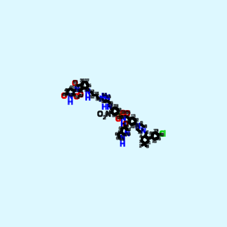 CC1(C)CCC(CN2CCN(c3ccc(C(=O)NS(=O)(=O)c4ccc(NCc5cn(CCCCNc6cccc7c6C(=O)N(C6CCC(=O)NC6=O)C7=O)nn5)c([N+](=O)[O-])c4)c(Oc4cnc5[nH]ccc5c4)c3)CC2)=C(c2ccc(Cl)cc2)C1